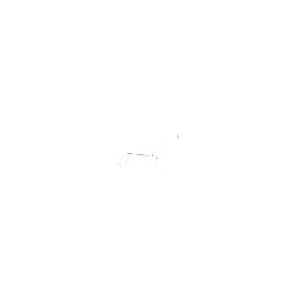 [CH2-][NH2+]C=O